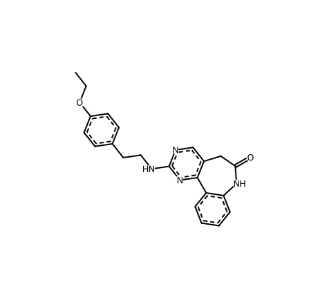 CCOc1ccc(CCNc2ncc3c(n2)-c2ccccc2NC(=O)C3)cc1